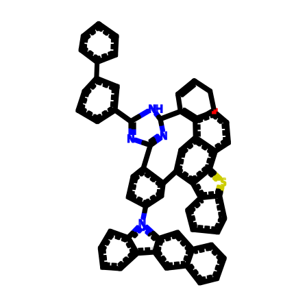 C1=CC(C2N=C(c3ccc(-n4c5ccccc5c5cc6ccccc6cc54)cc3-c3cc4ccccc4c4sc5ccccc5c34)N=C(c3cccc(-c4ccccc4)c3)N2)=CCC1